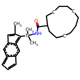 CC1=Cc2cc3c(cc2=[C]1[Ti]([CH3])([CH3])[NH]C(=O)C1CCCCCCCCCCC1)C=CC=3